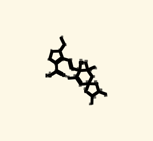 CCC1CCC(C(=O)O)=C1C=CC1(O)C(C)=CC2(CC1(C)C)OC(C)C(C)O2